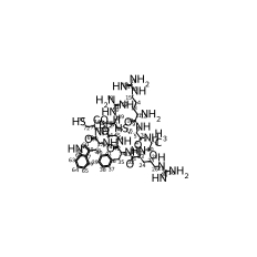 C[C@@H](NC(=O)[C@H](CS)NC(=O)[C@@H](N)CCCNC(=N)N)C(=O)N[C@@H](CCCNC(=N)N)C(=O)N[C@@H](Cc1ccccc1)C(=O)N[C@@H](CC(Br)CNC(=N)N)C(=O)N[C@H](Cc1c[nH]c2ccccc12)C(=O)N[C@@H](CS)C(=O)O